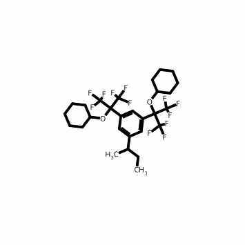 CCC(C)c1cc(C(OC2CCCCC2)(C(F)(F)F)C(F)(F)F)cc(C(OC2CCCCC2)(C(F)(F)F)C(F)(F)F)c1